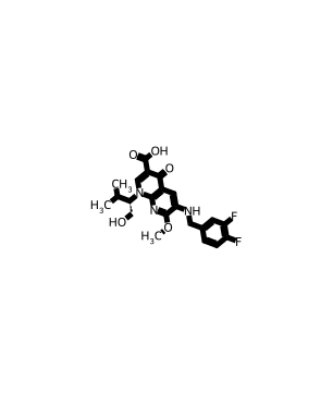 COc1nc2c(cc1NCc1ccc(F)c(F)c1)c(=O)c(C(=O)O)cn2[C@H](CO)C(C)C